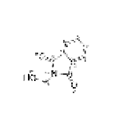 O=C1c2ccccc2C(=O)N1[CH]O